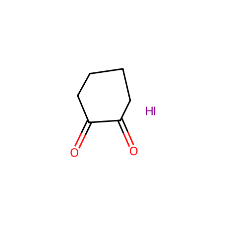 I.O=C1CCCCC1=O